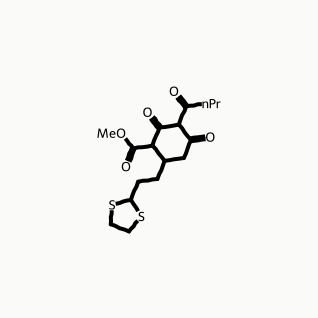 CCCC(=O)C1C(=O)CC(CCC2SCCS2)C(C(=O)OC)C1=O